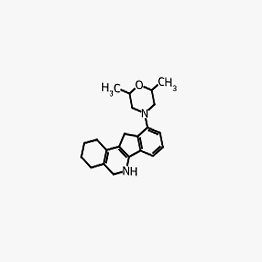 CC1CN(c2cccc3c2CC2=C3NCC3=C2CCCC3)CC(C)O1